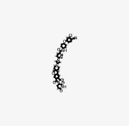 N#Cc1ccc(OC2CCC(NC(=O)c3ccc(N4CC(N5CCC6(CC5)COc5cc7c(cc5C6)C(=O)N(C5CCC(=O)NC5=O)C7=O)C4)nn3)CC2)cc1Cl